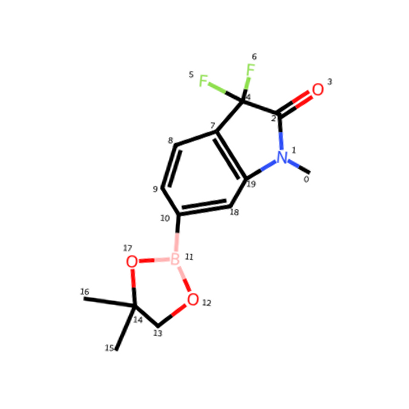 CN1C(=O)C(F)(F)c2ccc(B3OCC(C)(C)O3)cc21